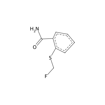 NC(=O)c1ccccc1SCF